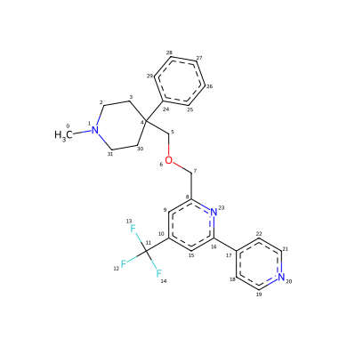 CN1CCC(COCc2cc(C(F)(F)F)cc(-c3ccncc3)n2)(c2ccccc2)CC1